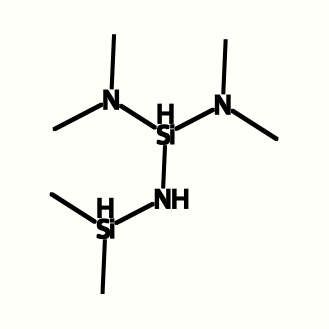 CN(C)[SiH](N[SiH](C)C)N(C)C